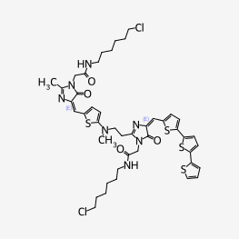 CC1=N/C(=C/c2ccc(N(C)CCC3=N/C(=C/c4ccc(-c5ccc(-c6cccs6)s5)s4)C(=O)N3CC(=O)NCCCCCCCl)s2)C(=O)N1CC(=O)NCCCCCCCl